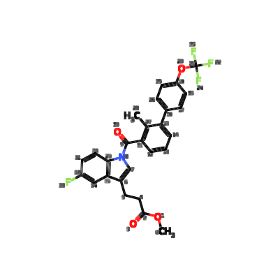 COC(=O)CCc1cn(C(=O)c2cccc(-c3ccc(OC(F)(F)F)cc3)c2C)c2ccc(F)cc12